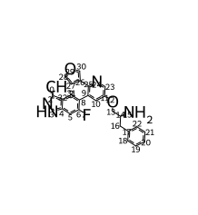 Cc1n[nH]c2cc(F)c(-c3cc(OC[C@@H](N)Cc4ccccc4)cnc3-c3ccoc3)cc12